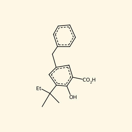 CCC(C)(C)c1cc(Cc2ccccc2)cc(C(=O)O)c1O